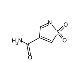 NC(=O)C1=CS(=O)(=O)N=C1